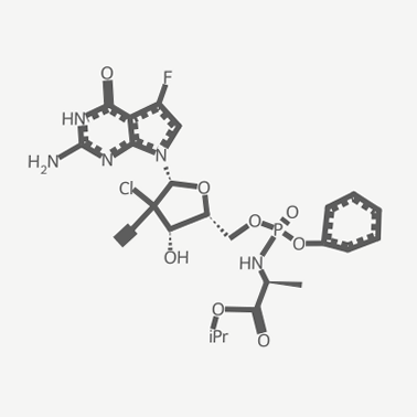 C#CC1(Cl)[C@@H](O)[C@@H](COP(=O)(N[C@@H](C)C(=O)OC(C)C)Oc2ccccc2)O[C@H]1n1cc(F)c2c(=O)[nH]c(N)nc21